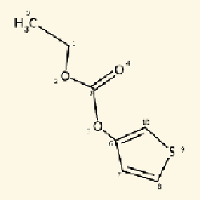 CCOC(=O)Oc1ccsc1